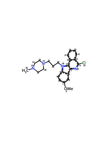 COc1ccc2c(c1)c1nc(Cl)c3ccccc3c1n2CCCN1CCN(C)CC1